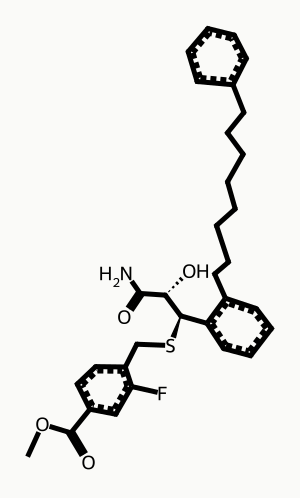 COC(=O)c1ccc(CS[C@H](c2ccccc2CCCCCCCCc2ccccc2)[C@@H](O)C(N)=O)c(F)c1